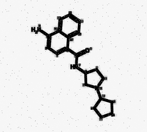 Nc1ccc(C(=O)NC2CCN(C3CCCC3)C2)c2ccccc12